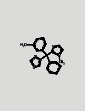 Cc1cccc(C(c2ccccc2)(c2nccn2C)n2cncn2)c1